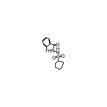 O=C(NNS(=O)(=O)C1CCCCC1)c1ccccc1F